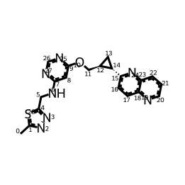 Cc1nnc(CNc2cc(OC[C@H]3C[C@@H]3c3ccc4ncccc4n3)ncn2)s1